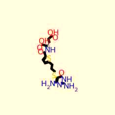 Nc1nc(N)c(SCCCc2ccc(C(=O)N[C@@H](CCC(=O)O)C(=O)O)s2)c(=O)[nH]1